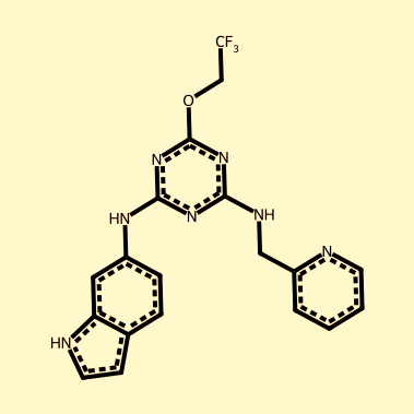 FC(F)(F)COc1nc(NCc2ccccn2)nc(Nc2ccc3cc[nH]c3c2)n1